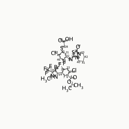 CC(C)OC(=O)c1cc(-c2nn(C)c(C(F)(F)F)c2Br)c(F)cc1Cl.O=C(O)CSc1cc(N=c2sc(=O)n3n2CCCC3)c(F)cc1Cl